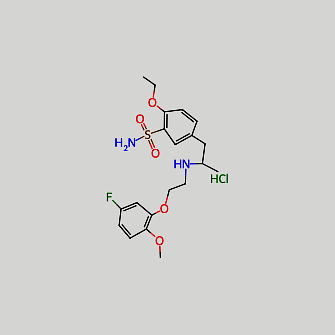 CCOc1ccc(CC(C)NCCOc2cc(F)ccc2OC)cc1S(N)(=O)=O.Cl